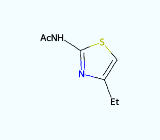 CCc1csc(NC(C)=O)n1